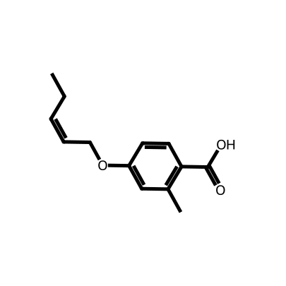 CC/C=C\COc1ccc(C(=O)O)c(C)c1